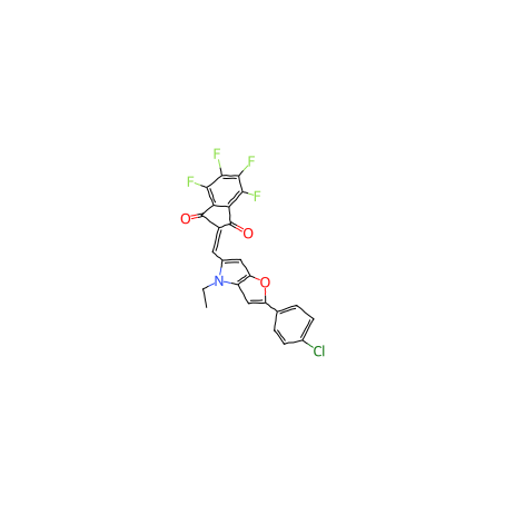 CCn1c(C=C2C(=O)c3c(F)c(F)c(F)c(F)c3C2=O)cc2oc(-c3ccc(Cl)cc3)cc21